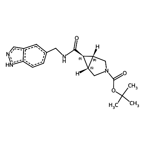 CC(C)(C)OC(=O)N1C[C@@H]2[C@H](C1)[C@H]2C(=O)NCc1ccc2[nH]ncc2c1